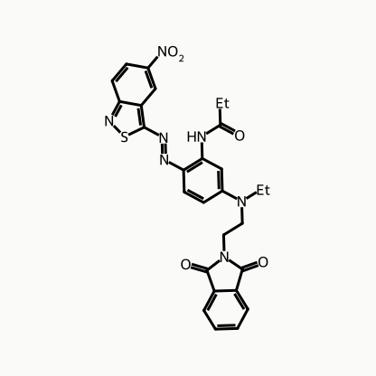 CCC(=O)Nc1cc(N(CC)CCN2C(=O)c3ccccc3C2=O)ccc1/N=N/c1snc2ccc([N+](=O)[O-])cc12